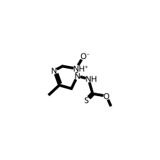 COC(=S)NN1CC(C)=NC[NH+]1[O-]